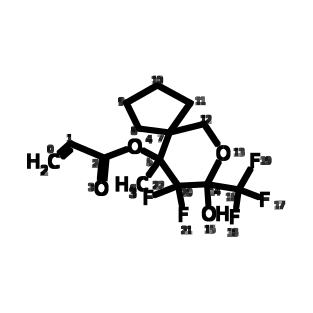 C=CC(=O)OC1(C)C2(CCCC2)COC(O)(C(F)(F)F)C1(F)F